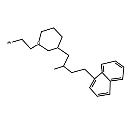 CC(C)CCN1CCCC(CC(C)CCc2cccc3ccccc23)C1